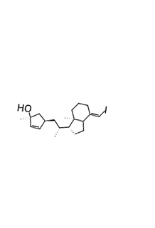 C[C@H](C[C@H]1C=C[C@@](C)(O)C1)[C@H]1CCC2/C(=C/I)CCC[C@@]21C